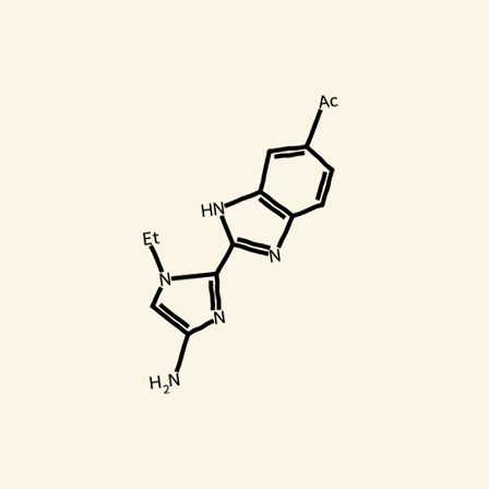 CCn1cc(N)nc1-c1nc2ccc(C(C)=O)cc2[nH]1